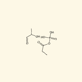 CC(O)C=O.CCC(=O)OP(=O)(O)O